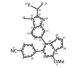 COc1nc(-c2ccc(C#N)cc2)c(-c2ccc3c(c2)nc(C(F)F)n3C)c2nccn12